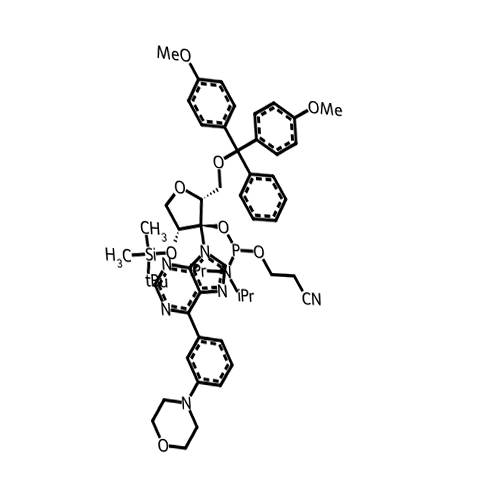 COc1ccc(C(OC[C@H]2OC[C@@H](O[Si](C)(C)C(C)(C)C)[C@@]2(OP(OCCC#N)N(C(C)C)C(C)C)n2cnc3c(-c4cccc(N5CCOCC5)c4)ncnc32)(c2ccccc2)c2ccc(OC)cc2)cc1